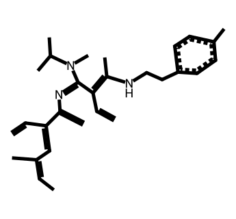 C=C/C(=C\C(C)=C/C)C(=C)/N=C(\C(C=C)=C(/C)NCCc1ccc(C)cc1)N(C)C(C)C